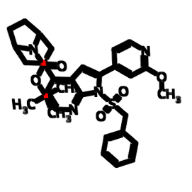 COc1cc(-c2cc3c(N4CC5CCC(C4)N5C(=O)OC(C)(C)C)ccnc3n2S(=O)(=O)Cc2ccccc2)ccn1